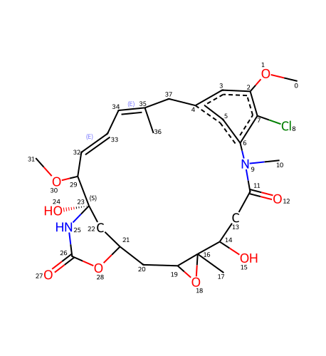 COc1cc2cc(c1Cl)N(C)C(=O)CC(O)C1(C)OC1CC1C[C@@](O)(NC(=O)O1)C(OC)/C=C/C=C(\C)C2